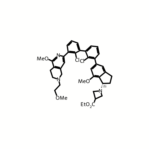 CCOC(=O)C1CN([C@H]2CCc3cc(-c4cccc(-c5cccc(-c6cc7c(c(OC)n6)CCN(CCOC)C7)c5Cl)c4Cl)cc(OC)c32)C1